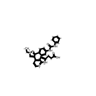 CCn1cc(-c2ccnc3[nH]c(CCC(=O)O)cc23)c(-c2ccc(NC(=O)Nc3ccccc3)cc2)n1